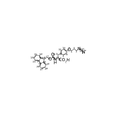 [N-]=[N+]=NCCCOc1ccc(C[C@H](NC(=O)OCC2c3ccccc3-c3ccccc32)C(=O)O)cc1